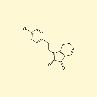 O=C1C(=O)N(CCc2ccc(Cl)cc2)C2=C1C=CCC2